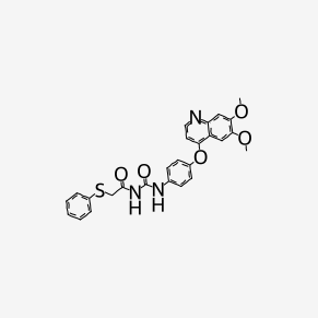 COc1cc2nccc(Oc3ccc(NC(=O)NC(=O)CSc4ccccc4)cc3)c2cc1OC